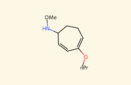 CCCOC1=CCCC(NOC)C=C1